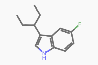 CCC(CC)c1c[nH]c2ccc(F)cc12